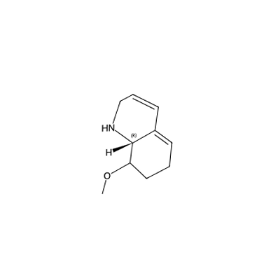 COC1CCC=C2C=CCN[C@H]21